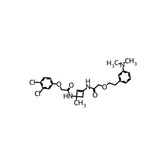 CN(C)c1cccc(CCOCC(=O)NC2=CC(C)(NC(=O)COc3ccc(Cl)c(Cl)c3)C2)c1